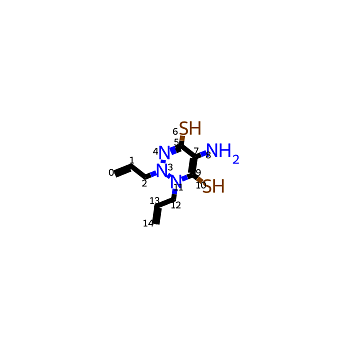 C=CCN1N=C(S)C(N)=C(S)N1CC=C